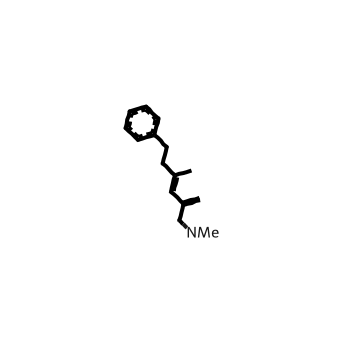 C=C(/C=C(\C)CCc1ccccc1)CNC